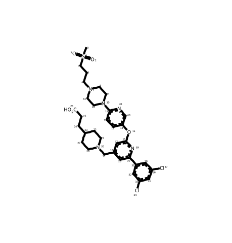 CS(=O)(=O)CCCN1CCN(c2ccc(Oc3cc(CN4CCC(CCC(=O)O)CC4)cc(-c4cc(Cl)cc(Cl)c4)n3)cn2)CC1